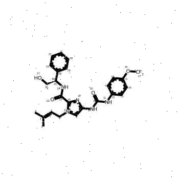 CC(C)=CCn1cc(NC(=O)Nc2ccc(OC(F)(F)F)cc2)nc1C(=O)N[C@@H](CO)c1ccccc1